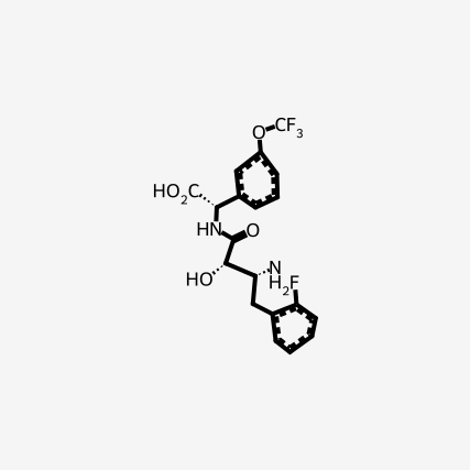 N[C@H](Cc1ccccc1F)[C@H](O)C(=O)N[C@H](C(=O)O)c1cccc(OC(F)(F)F)c1